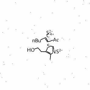 CCCC/C=C/C(C)=O.Cc1ncsc1CCO.[C+4].[S-2].[S-2]